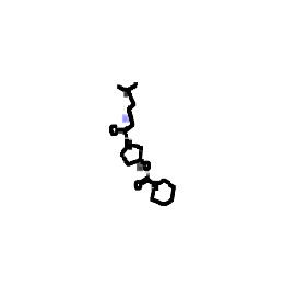 CN(C)C/C=C/C(=O)N1CC[C@H](OC(=O)N2CCCCC2)C1